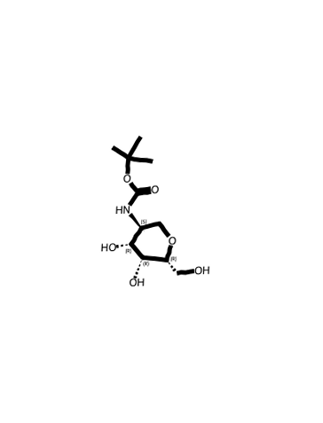 CC(C)(C)OC(=O)N[C@H]1CO[C@H](CO)[C@H](O)[C@@H]1O